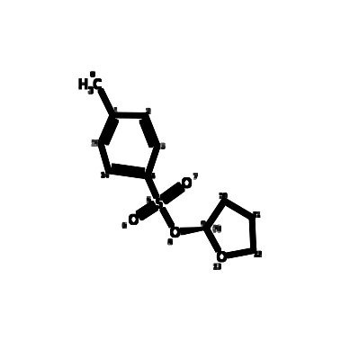 Cc1ccc(S(=O)(=O)O[C@H]2CCCO2)cc1